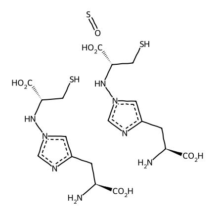 N[C@@H](Cc1cn(N[C@@H](CS)C(=O)O)cn1)C(=O)O.N[C@@H](Cc1cn(N[C@@H](CS)C(=O)O)cn1)C(=O)O.O=S